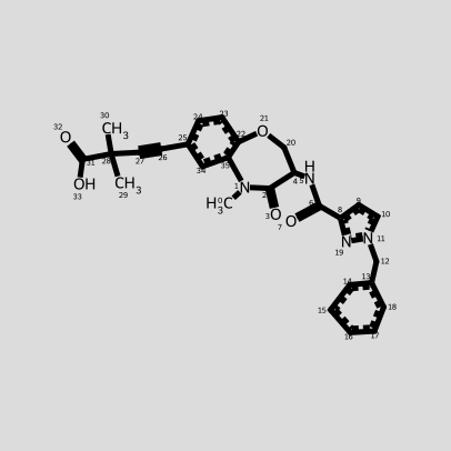 CN1C(=O)C(NC(=O)c2ccn(Cc3ccccc3)n2)COc2ccc(C#CC(C)(C)C(=O)O)cc21